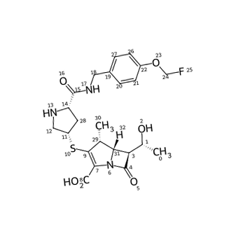 C[C@@H](O)[C@H]1C(=O)N2C(C(=O)O)=C(S[C@@H]3CN[C@H](C(=O)NCc4ccc(OCF)cc4)C3)[C@H](C)[C@H]12